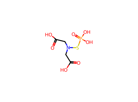 O=C(O)CN(CC(=O)O)SP(=O)(O)O